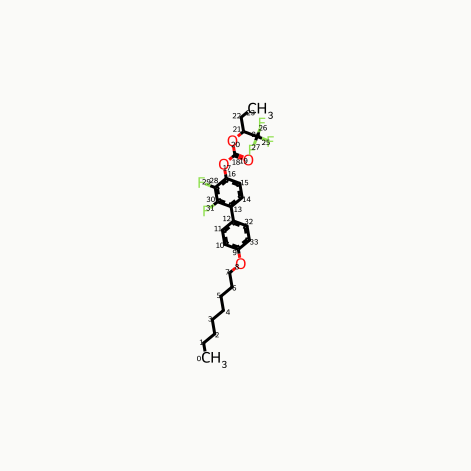 CCCCCCCCOc1ccc(-c2ccc(OC(=O)OC(CC)C(F)(F)F)c(F)c2F)cc1